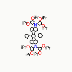 CC(C)Oc1cc(OC(C)C)cc(N(c2cc(OC(C)C)cc(OC(C)C)c2)c2ccc3c4c(-c5ccccc5)c5c6ccc(N(c7cc(OC(C)C)cc(OC(C)C)c7)c7cc(OC(C)C)cc(OC(C)C)c7)c7cccc(c5c(-c5ccccc5)c4c4cccc2c43)c76)c1